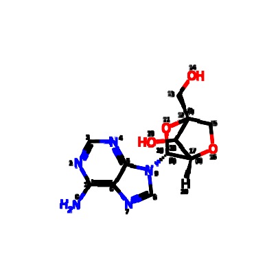 Nc1ncnc2c1ncn2[C@@H]1O[C@]2(CO)CO[C@H]1C2O